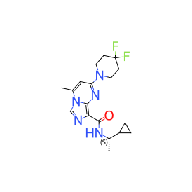 Cc1cc(N2CCC(F)(F)CC2)nc2c(C(=O)N[C@@H](C)C3CC3)ncn12